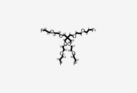 FCCOCCOCC(COCCOCCF)(COCCOCCF)COCCOCCF